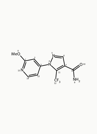 COc1cc(-n2ncc(C(N)=O)c2C(F)(F)F)ccn1